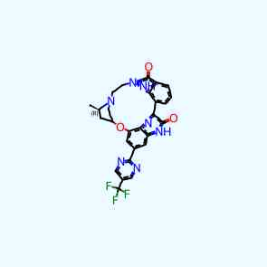 C[C@@H]1CC2CN1CCn1[nH]c3c(cccc3c1=O)-c1nc3c(cc(-c4ncc(C(F)(F)F)cn4)cc3[nH]c1=O)O2